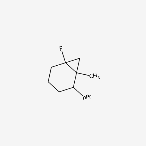 CCCC1CCCC2(F)CC12C